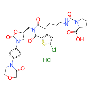 Cl.O=C(O)[C@@H]1CCCN1C(=O)NCCCCC(=O)N(C[C@H]1CN(c2ccc(N3CCOCC3=O)cc2)C(=O)O1)C(=O)c1ccc(Cl)s1